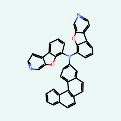 c1ccc2c(c1)ccc1ccc3cc(N(c4cccc5c4oc4cnccc45)c4cccc5c4oc4cnccc45)ccc3c12